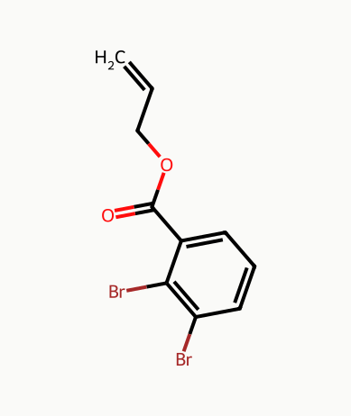 C=CCOC(=O)c1cccc(Br)c1Br